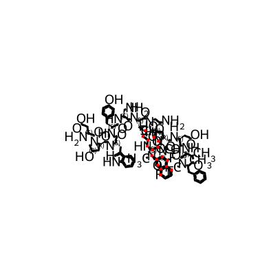 CCCC[C@@H](C(=O)N1C[C@H](O)C[C@@H]1C(=O)N[C@@H](CC(=O)O)C(=O)N[C@H](C(=O)N(C)C(C=O)Cc1ccccc1)C(C)C)N(C)C(=O)[C@H](Cc1ccccc1)N(C)C(=O)[C@H](Cc1cc(F)c(F)c(F)c1)NC(=O)CSC[C@H](NC(=O)[C@H](CN)NC(=O)[C@H](Cc1ccc(O)cc1)NC(=O)[C@H](Cc1c[nH]c2ccccc12)NC(=O)[C@H]1C[C@@H](O)CN1C(=O)[C@@H](N)CC(=O)O)C(=O)NCC(N)=O